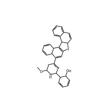 COC1CC(C2=CC3=C(C4C=CC=CC24)C2c4ccccc4C=CC2S3)=NC(C2C=CC=CC2O)N1